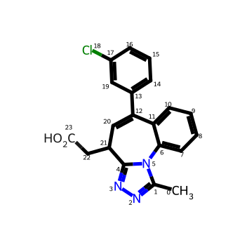 Cc1nnc2n1-c1ccccc1C(c1cccc(Cl)c1)=CC2CC(=O)O